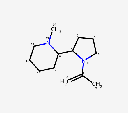 C=C(C)N1CCCC1C1CCCCN1C